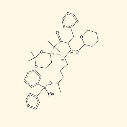 CC(CCC[C@H](C)[C@@H](OC1CCCCO1)C(Cc1ccccc1)C(=O)C(C)(C)[C@@H]1CCOC(C)(C)O1)O[Si](c1ccccc1)(c1ccccc1)C(C)(C)C